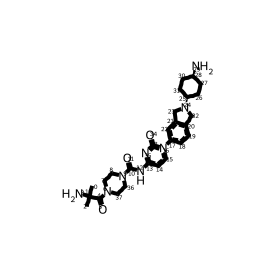 CC(C)(N)C(=O)N1CCN(C(=O)Nc2ccn(-c3ccc4c(c3)CN([C@H]3CC[C@H](N)CC3)C4)c(=O)n2)CC1